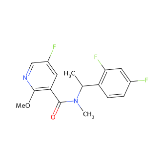 COc1ncc(F)cc1C(=O)N(C)C(C)c1ccc(F)cc1F